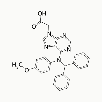 COc1ccc(N(c2ncnc3c2ncn3CC(=O)O)C(c2ccccc2)c2ccccc2)cc1